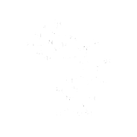 [2H]c1c(C[C@]2([2H])N([2H])C(=O)OC2([2H])[2H])c([2H])c2c(CC([2H])([2H])N(C([2H])([2H])[2H])C([2H])([2H])[2H])c([2H])n([2H])c2c1[2H]